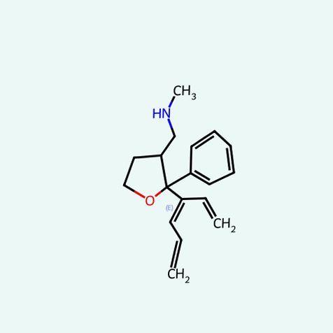 C=C/C=C(\C=C)C1(c2ccccc2)OCCC1CNC